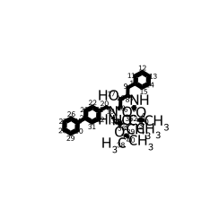 CC(C)(C)OC(=O)NC(Cc1ccccc1)C(O)CN(Cc1ccc(-c2ccccc2)cc1)NC(=O)OC(C)(C)C